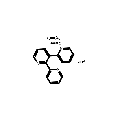 CC(=O)[O-].CC(=O)[O-].[Zn+2].c1ccc(-c2cccnc2-c2ccccn2)nc1